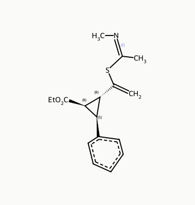 C=C(S/C(C)=N\C)[C@H]1[C@H](C(=O)OCC)[C@@H]1c1ccccc1